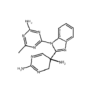 Cc1nc(N)nc(-n2c(C3(N)C=NC(N)=NC3)nc3ccccc32)n1